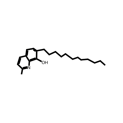 CCCCCCCCCCCCc1ccc2ccc(C)nc2c1O